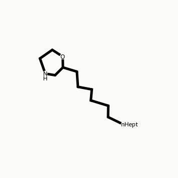 CCCCCCCCCCCCCC1CNCCO1